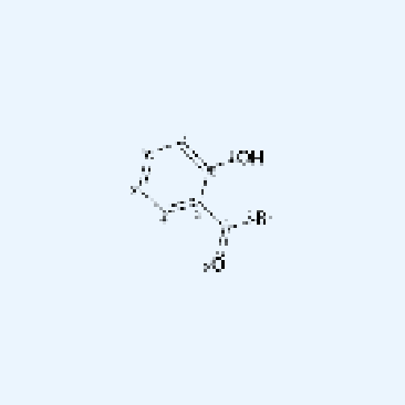 O=C(Br)c1ccccc1O